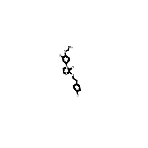 CC(C)(C)COc1ccc(-n2ccnc(OCCc3ccc(Cl)cc3)c2=O)cc1F